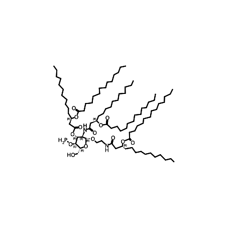 CCCCCCCCCCCCCC(=O)O[C@H](CCCCCCCCCCC)CC(=O)NCCO[C@@H]1O[C@H](CO)[C@@H](OP)[C@H](OC(=O)C[C@@H](CCCCCCCCCCC)OC(=O)CCCCCCCCCCCCC)[C@H]1NC(=O)C[C@@H](CCCCCCCCCCC)OC(=O)CCCCCCCCCCCCC